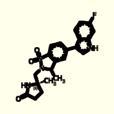 CC1c2cc(-c3c[nH]c4cc(F)ccc34)ccc2S(=O)(=O)N1C[C@@]1(C)CCC(=O)N1